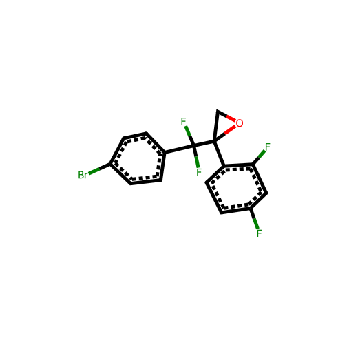 Fc1ccc(C2(C(F)(F)c3ccc(Br)cc3)CO2)c(F)c1